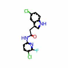 O=C(Cc1c[nH]c2ccc(Cl)cc12)Nc1ccc(Cl)c(F)n1